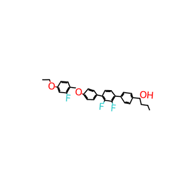 CCCC(O)c1ccc(-c2ccc(-c3ccc(OCc4ccc(OCC)cc4F)cc3)c(F)c2F)cc1